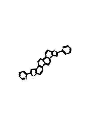 c1ccc(-c2cc3c(ccc4c3ccc3c5ccc6sc(-c7ccccn7)cc6c5ccc43)s2)nc1